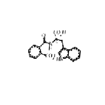 O=C(O)c1ccccc1C(=O)N[C@@H](Cc1c[nH]c2ccccc12)C(=O)O